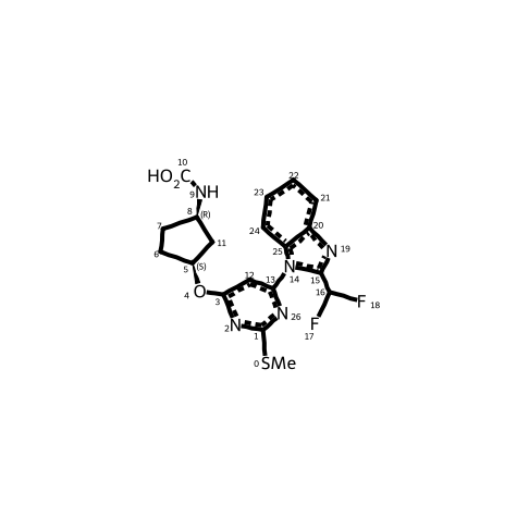 CSc1nc(O[C@H]2CC[C@@H](NC(=O)O)C2)cc(-n2c(C(F)F)nc3ccccc32)n1